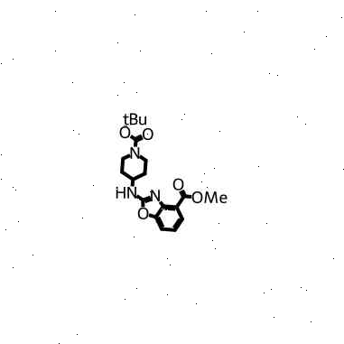 COC(=O)c1cccc2oc(NC3CCN(C(=O)OC(C)(C)C)CC3)nc12